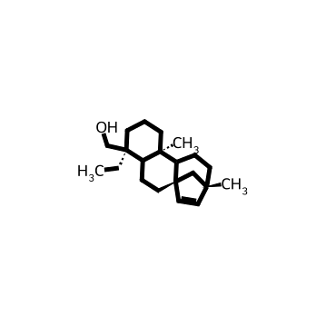 CC[C@]1(CO)CCC[C@@]2(C)C3CC[C@]4(C)C=C[C@@]3(CCC12)C4